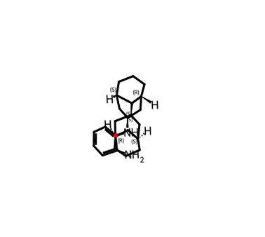 Nc1ccccc1N[C@@H]1C[C@H]2CCC[C@@H](C1)C2[C@@H]1C[C@@H]2CCC[C@@H](C2)C1